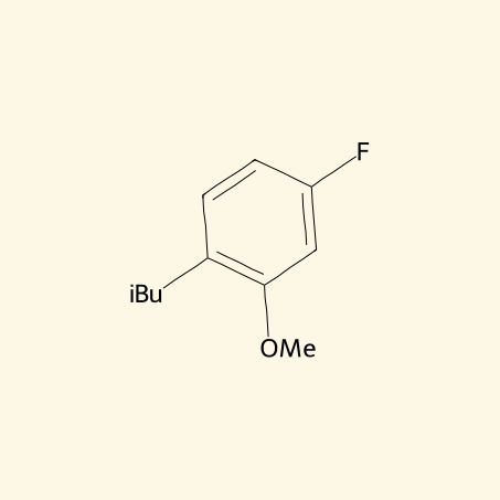 CCC(C)c1ccc(F)cc1OC